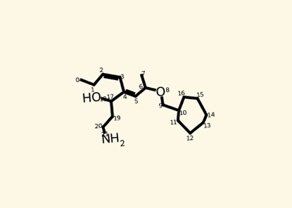 CC/C=C\C(=C/C(C)OCC1CCCCCC1)C(O)CCN